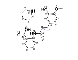 C1CCNCC1.COc1ccc(/C=C/C(=O)Nc2ccccc2C(=O)O)cc1O